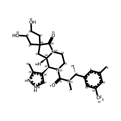 Cc1cc([C@@H](C)N(C)C(=O)N2CCN3C(=O)C(CCO)(CCO)C[C@H]3[C@@H]2c2c[nH]nc2C)cc(C(F)(F)F)c1